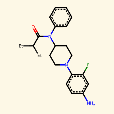 CCC(CC)C(=O)N(c1ccccc1)C1CCN(c2ccc(N)cc2F)CC1